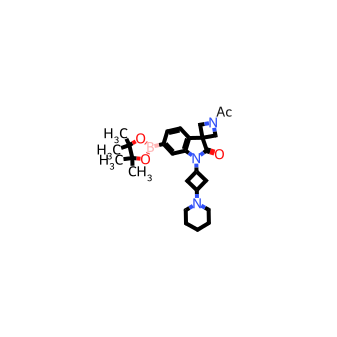 CC(=O)N1CC2(C1)C(=O)N(C1CC(N3CCCCC3)C1)c1cc(B3OC(C)(C)C(C)(C)O3)ccc12